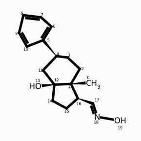 C[C@]12CC[C@H](c3ccccc3)C[C@@]1(O)CC[C@@H]2C=NO